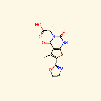 Cc1c(-c2ncco2)sc2[nH]c(=O)n([C@@H](C)C(=O)O)c(=O)c12